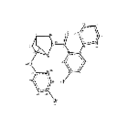 O=C(c1cc(F)ccc1-c1ncccn1)N1CC2CCC1C(Oc1ccc(Br)cn1)C2